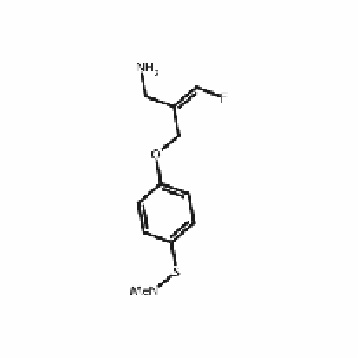 CNSc1ccc(OC/C(=C\F)CN)cc1